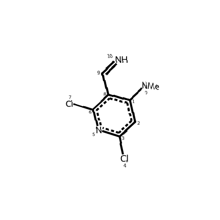 CNc1cc(Cl)nc(Cl)c1C=N